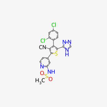 [C-]#[N+]c1c(-c2ccnc(NS(C)(=O)=O)c2)sc(-c2nnc[nH]2)c1-c1ccc(Cl)cc1Cl